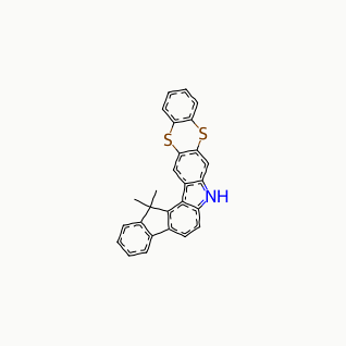 CC1(C)c2ccccc2-c2ccc3[nH]c4cc5c(cc4c3c21)Sc1ccccc1S5